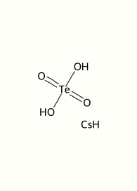 O=[Te](=O)(O)O.[CsH]